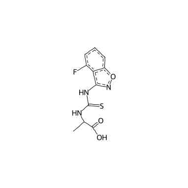 CC(NC(=S)Nc1noc2cccc(F)c12)C(=O)O